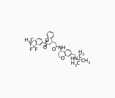 Cc1ccc(S(=O)(=O)C[C@H](CC(=O)N[C@@H]2CCOc3cc(CNC(C)(C)C)ccc32)c2ccccc2)cc1C(F)(F)F